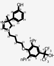 CCCc1cc(C(O)(C(F)(F)F)C(F)(F)F)cc(CCC)c1OCCCCN1C=NC(C)(c2cccc(O)c2)C1